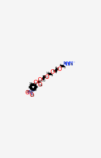 [N-]=[N+]=NCCOCCOCCOCCOC(=O)Oc1ccc([N+](=O)[O-])cc1